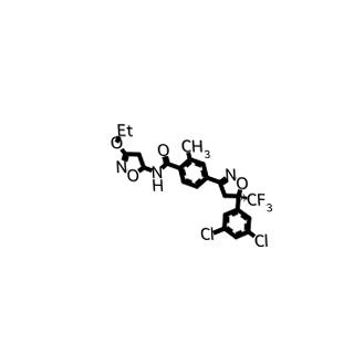 CCOC1=NOC(NC(=O)c2ccc(C3=NO[C@@](c4cc(Cl)cc(Cl)c4)(C(F)(F)F)C3)cc2C)C1